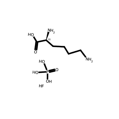 F.NCCCC[C@H](N)C(=O)O.O=P(O)(O)O